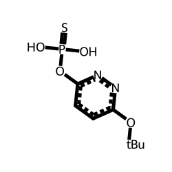 CC(C)(C)Oc1ccc(OP(O)(O)=S)nn1